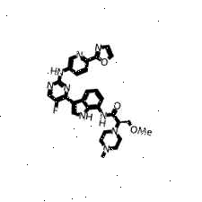 COC[C@H](C(=O)Nc1cccc2c(-c3nc(Nc4ccc(-c5ncco5)nc4)ncc3F)c[nH]c12)N1CCN(C)CC1